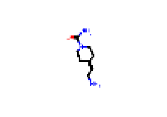 NCC=C1CCN(C(N)=O)CC1